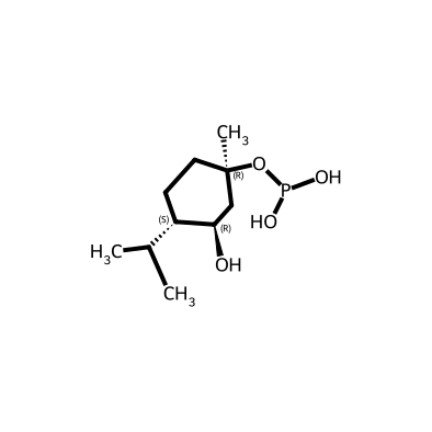 CC(C)[C@@H]1CC[C@@](C)(OP(O)O)C[C@H]1O